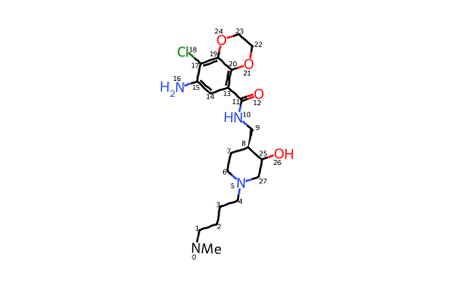 CNCCCCN1CC[C@@H](CNC(=O)c2cc(N)c(Cl)c3c2OCCO3)C(O)C1